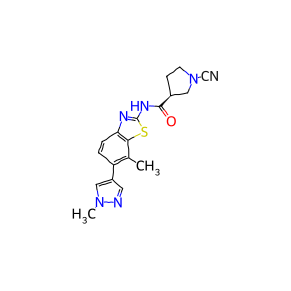 Cc1c(-c2cnn(C)c2)ccc2nc(NC(=O)[C@H]3CCN(C#N)C3)sc12